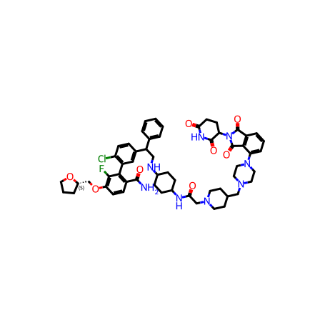 NC(=O)c1ccc(OC[C@@H]2CCCO2)c(F)c1-c1cc(C(CNC2CCC(NC(=O)CN3CCC(CN4CCN(c5cccc6c5C(=O)N(C5CCC(=O)NC5=O)C6=O)CC4)CC3)CC2)c2ccccc2)ccc1Cl